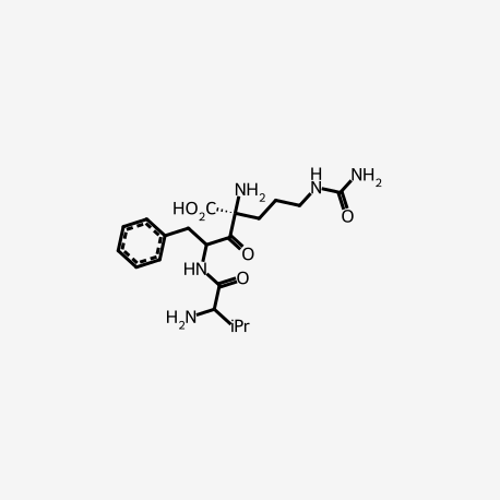 CC(C)C(N)C(=O)NC(Cc1ccccc1)C(=O)[C@@](N)(CCCNC(N)=O)C(=O)O